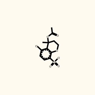 CC(=O)OC1(C)CCOc2c(S(=O)(=O)Cl)ccc(Cl)c21